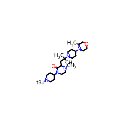 C[C@@H]1COCCN1C1CCN(C(C)(C)CC2C(=O)N(C3CCN(C(C)(C)C)CC3)CCN2C)CC1